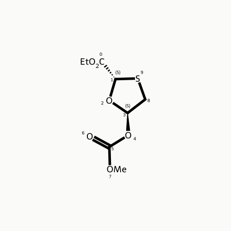 CCOC(=O)[C@H]1O[C@H](OC(=O)OC)CS1